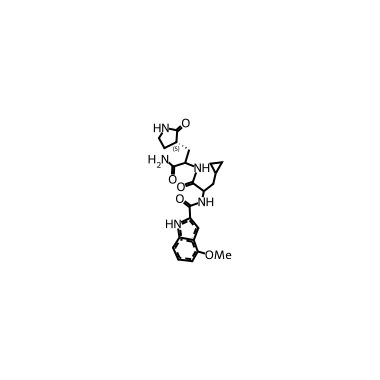 COc1cccc2[nH]c(C(=O)NC(CC3CC3)C(=O)NC(C[C@@H]3CCNC3=O)C(N)=O)cc12